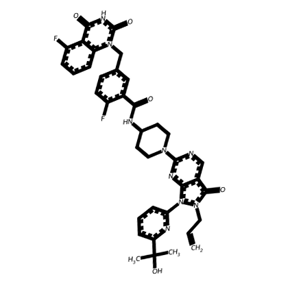 C=CCn1c(=O)c2cnc(N3CCC(NC(=O)c4cc(Cn5c(=O)[nH]c(=O)c6c(F)cccc65)ccc4F)CC3)nc2n1-c1cccc(C(C)(C)O)n1